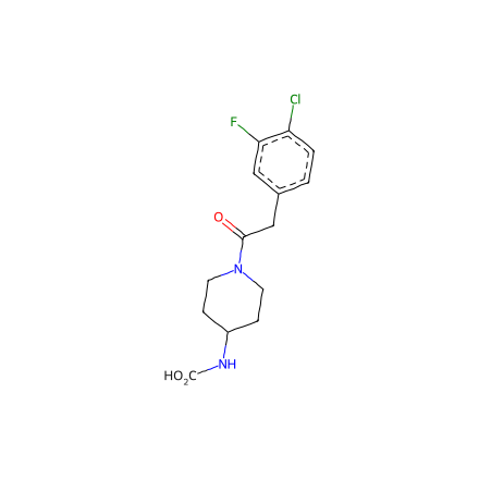 O=C(O)NC1CCN(C(=O)Cc2ccc(Cl)c(F)c2)CC1